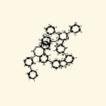 c1ccc(-c2cccc(C3CCc4ccccc4-c4cc(-c5ccc6oc7cccc(-c8ccc9c(c8)c8nc(-c%10ccccc%10)nc(-c%10ccccc%10)c8n9-c8ccccc8)c7c6c5)ccc43)c2)cc1